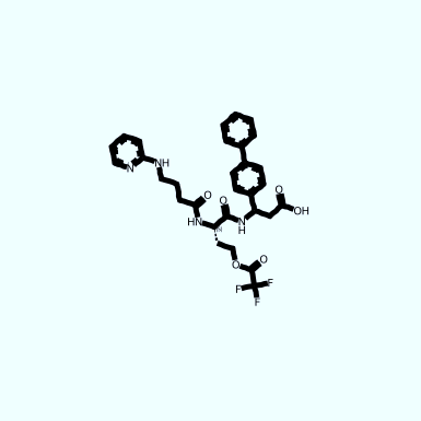 O=C(O)CC(NC(=O)[C@H](CCOC(=O)C(F)(F)F)NC(=O)CCCNc1ccccn1)c1ccc(-c2ccccc2)cc1